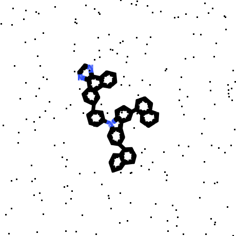 c1cc(-c2ccc3c(c2)c2ccccc2c2nccnc32)cc(-n2c3ccc(-c4cccc5ccccc45)cc3c3cc(-c4cccc5ccccc45)ccc32)c1